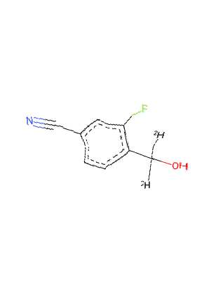 [2H]C([2H])(O)c1ccc(C#N)cc1F